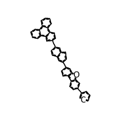 c1ccc(-c2ccc3c(c2)oc2cc(-c4ccc5cc(-c6ccc7c8ccccc8c8ccccc8c7c6)ccc5c4)ccc23)cc1